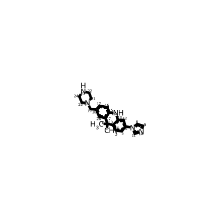 CC1(C)c2ccc(-n3ccnc3)cc2Nc2ccc(CN3CCNCC3)cc21